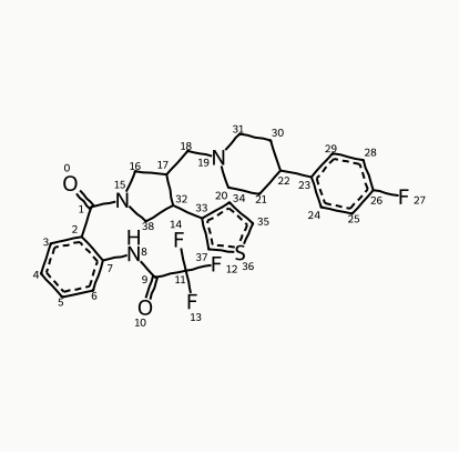 O=C(c1ccccc1NC(=O)C(F)(F)F)N1CC(CN2CCC(c3ccc(F)cc3)CC2)C(c2ccsc2)C1